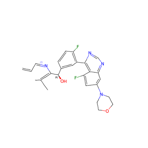 C=C/C=N\C(=C(C)C)[C@H](O)c1ccc(F)c(-c2ncnc3cc(N4CCOCC4)cc(F)c23)c1